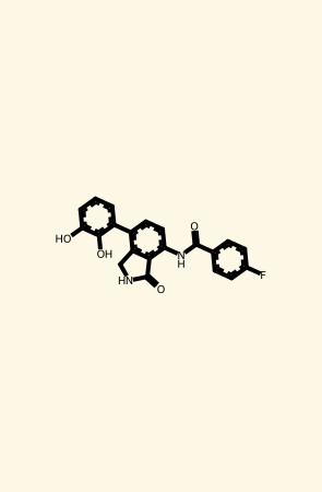 O=C(Nc1ccc(-c2cccc(O)c2O)c2c1C(=O)NC2)c1ccc(F)cc1